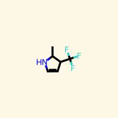 CC1NC=CC1C(F)(F)F